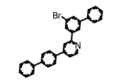 Brc1cc(-c2ccccc2)cc(-c2cc(-c3ccc(-c4ccccc4)cc3)ccn2)c1